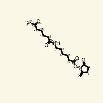 C=C1CCC(=O)N1OC(=O)CCCCCNC(=O)CCCCC(=O)C(C)C